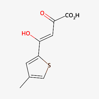 Cc1csc(C(O)=CC(=O)C(=O)O)c1